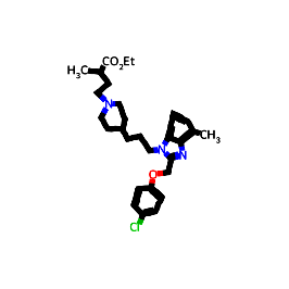 CCOC(=O)C(C)CCN1CCC(CCCn2c(COc3ccc(Cl)cc3)nc3c(C)cccc32)CC1